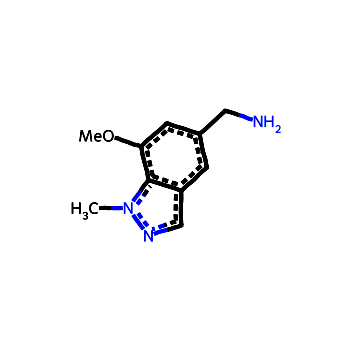 COc1cc(CN)cc2cnn(C)c12